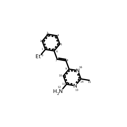 CCc1c[c]ccc1C=Cc1cc(N)nc(C)n1